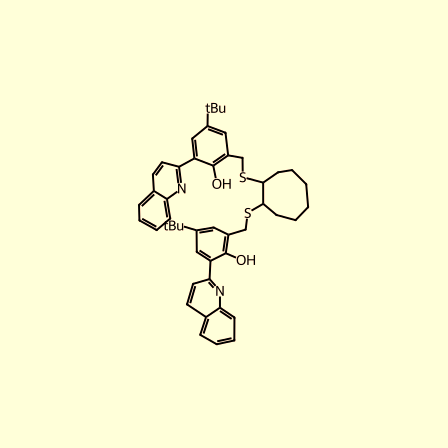 CC(C)(C)c1cc(CSC2CCCCCCC2SCc2cc(C(C)(C)C)cc(-c3ccc4ccccc4n3)c2O)c(O)c(-c2ccc3ccccc3n2)c1